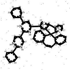 C1=Cc2ccccc2C2(c3ccccc31)c1ccccc1-c1ccc(-c3cc(-c4ccccc4)nc(-c4cnc(-c5ccccc5)nc4)n3)cc12